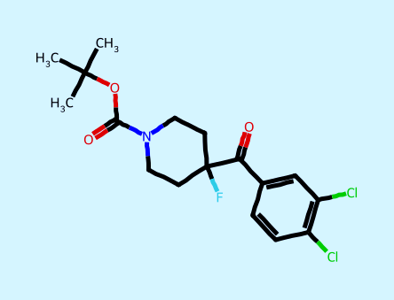 CC(C)(C)OC(=O)N1CCC(F)(C(=O)c2ccc(Cl)c(Cl)c2)CC1